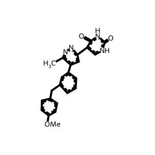 COc1ccc(Cc2cccc(-c3cc(-c4c[nH]c(=O)[nH]c4=O)nnc3C)c2)cc1